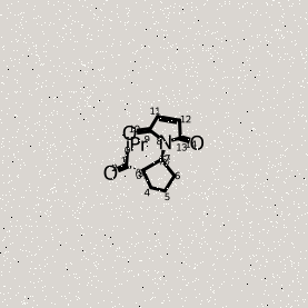 CC(C)C(=O)[C@H]1CCC[C@@H]1N1C(=O)C=CC1=O